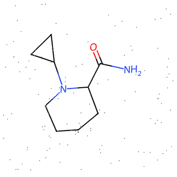 NC(=O)C1C[CH]CCN1C1CC1